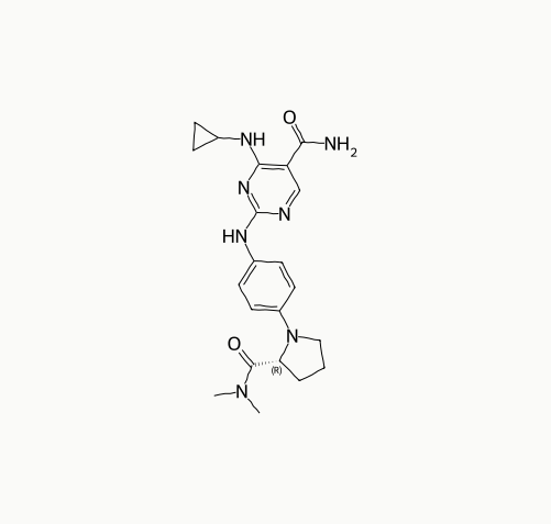 CN(C)C(=O)[C@H]1CCCN1c1ccc(Nc2ncc(C(N)=O)c(NC3CC3)n2)cc1